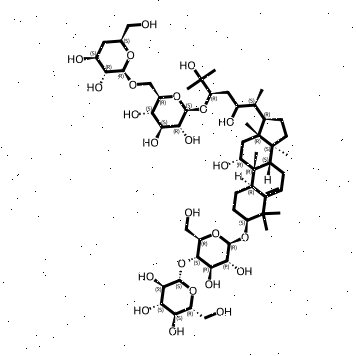 C[C@H](C(O)C[C@@H](O[C@@H]1O[C@H](CO[C@@H]2O[C@H](CO)C[C@H](O)[C@H]2O)[C@@H](O)[C@H](O)[C@H]1O)C(C)(C)O)[C@H]1CC[C@@]2(C)[C@@H]3CC=C4[C@@H](CC[C@H](O[C@@H]5O[C@H](CO)[C@@H](O[C@@H]6O[C@H](CO)[C@@H](O)[C@H](O)[C@H]6O)[C@H](O)[C@H]5O)C4(C)C)[C@]3(C)[C@H](O)C[C@]12C